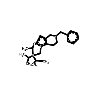 CC(C)S(Cn1ccc2c1CCN(Cc1ccccc1)C2)(C(C)C)C(C)C